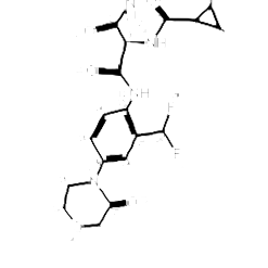 NC(=O)[C@@H](NC(=O)C1CC1)C(=O)Nc1ccc(N2CCOCC2=O)cc1C(F)F